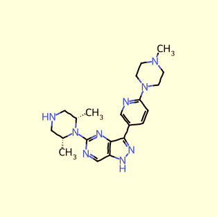 C[C@@H]1CNC[C@H](C)N1c1ncc2[nH]nc(-c3ccc(N4CCN(C)CC4)nc3)c2n1